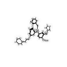 COc1ccc(N(Cc2cccnc2)c2cccc(OCCN3CCCCC3)c2)cc1OC1CCCC1